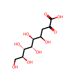 O=C(O)C(=O)CC(O)[C@H](O)[C@H](O)[C@@H](O)[C@@H](O)CO